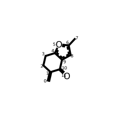 C=C1CCc2oc(C)cc2C1=O